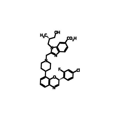 C[C@H](CO)Cn1c(CN2CCC(c3cccc4c3O[C@H](c3ccc(Cl)cc3F)C=N4)CC2)nc2ccc(C(=O)O)cc21